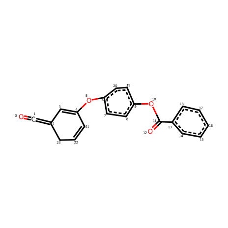 O=C=C1C=C(Oc2ccc(OC(=O)c3ccccc3)cc2)C=CC1